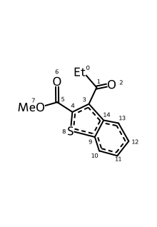 CCC(=O)c1c(C(=O)OC)sc2ccccc12